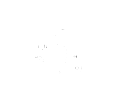 N[C@]1(C(=O)O)C2[C@@H](C[C@H]1OC1CCCC1)[C@]2(F)C(=O)O